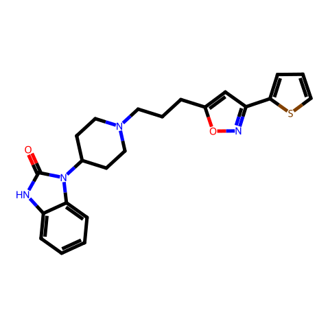 O=c1[nH]c2ccccc2n1C1CCN(CCCc2cc(-c3cccs3)no2)CC1